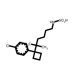 CC(C)(CCCCNS(=O)(=O)O)C1(c2ccc(Cl)cc2)CCC1